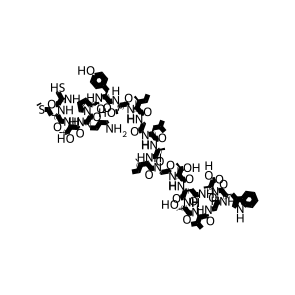 CC[C@H](C)[C@H](NC(=O)[C@H](C)NC(=O)[C@H](CC(C)C)NC(=O)CNC(=O)[C@@H](NC(=O)[C@H](CO)NC(=O)[C@H](Cc1ccc(O)cc1)NC(=O)[C@@H]1CCCN1C(=O)[C@H](CCCCN)NC(=O)[C@@H](NC(=O)[C@H](CCSC)NC(=O)[C@@H](N)CS)[C@@H](C)O)[C@@H](C)CC)C(=O)NCC(=O)N[C@H](C(=O)N[C@@H](CC(N)=O)C(=O)N[C@@H](CO)C(=O)N[C@H](C(=O)NCC(=O)N[C@@H](Cc1c[nH]c2ccccc12)C(=O)N[C@@H](C)C(=O)O)C(C)C)[C@@H](C)O